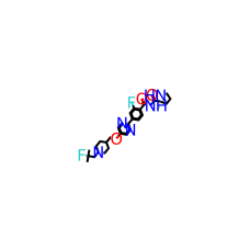 CC(C)(F)CN1CCC(COc2cnc(-c3ccc(C(=O)NC(=O)[C@]4(C)CCCN4)c(F)c3)nc2)CC1